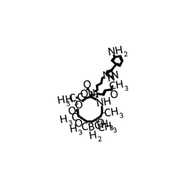 B[C@@H]1[C@@H](C)C(=O)[C@@H](C)C(=O)O[C@H](CC)[C@@]2(C)OC(=O)N(CCCCn3cc(-c4cccc(N)c4)nn3)[C@@H]2[C@@H](C/C=C/C(C)=O)NC[C@H](C)C[C@@]1(C)OC